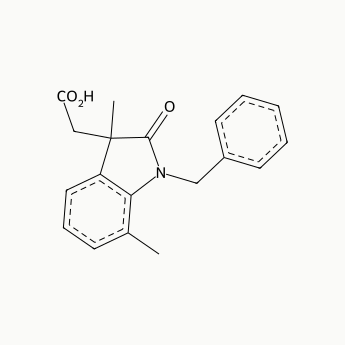 Cc1cccc2c1N(Cc1ccccc1)C(=O)C2(C)CC(=O)O